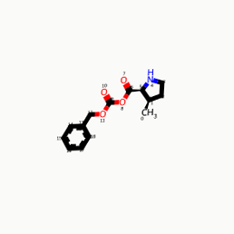 C[C@@H]1CCN[C@@H]1C(=O)OC(=O)OCc1ccccc1